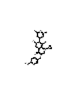 Cc1cc(-c2c(F)cc3c(=O)c(Cc4ccc(O)cc4)cn(C4CC4)c3c2F)cc(C)n1